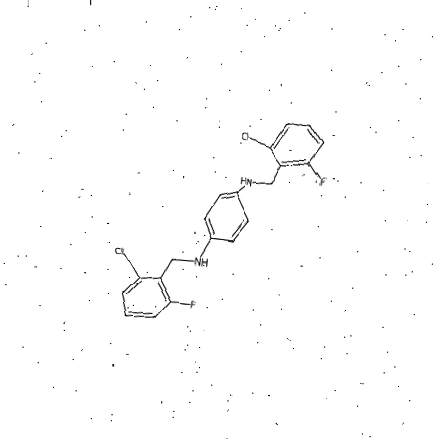 Fc1cccc(Cl)c1CNc1ccc(NCc2c(F)cccc2Cl)cc1